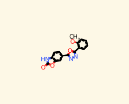 COc1ccccc1-c1nnc(-c2ccc3[nH]c(=O)oc3c2)o1